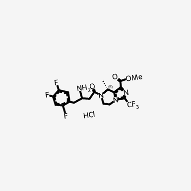 COC(=O)c1nc(C(F)(F)F)n2c1[C@@H](C)N(C(=O)CC(N)Cc1cc(F)c(F)cc1F)CC2.Cl